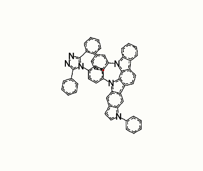 c1ccc(-c2nnc(-c3ccccc3)n2-c2ccc(-n3c4cc5ccn(-c6ccccc6)c5cc4c4ccc5c6ccccc6n(-c6ccccc6)c5c43)cc2)cc1